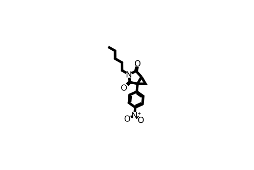 CCCCCN1C(=O)C2CC2(c2ccc([N+](=O)[O-])cc2)C1=O